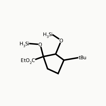 CCOC(=O)C1(O[SiH3])CCC(C(C)(C)C)C1O[SiH3]